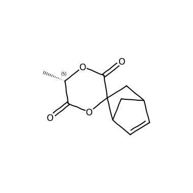 C[C@@H]1OC(=O)C2(CC3C=CC2C3)OC1=O